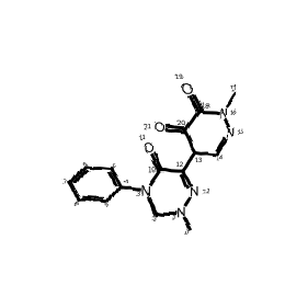 CN1CN(c2ccccc2)C(=O)C(C2C=NN(C)C(=O)C2=O)=N1